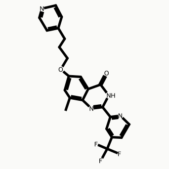 Cc1cc(OCCCc2ccncc2)cc2c(=O)[nH]c(-c3cc(C(F)(F)F)ccn3)nc12